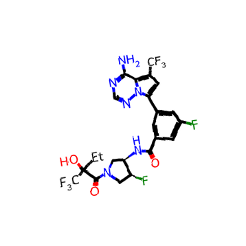 CCC(O)(C(=O)N1C[C@H](F)[C@H](NC(=O)c2cc(F)cc(-c3cc(C(F)(F)F)c4c(N)ncnn34)c2)C1)C(F)(F)F